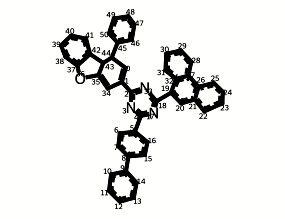 C1=C(c2nc(-c3ccc(-c4ccccc4)cc3)nc(-c3cc4ccccc4c4ccccc34)n2)C=C2Oc3ccccc3C2C1c1ccccc1